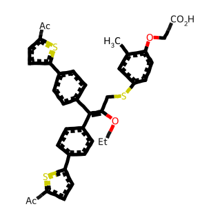 CCOC(CSc1ccc(OCC(=O)O)c(C)c1)=C(c1ccc(-c2ccc(C(C)=O)s2)cc1)c1ccc(-c2ccc(C(C)=O)s2)cc1